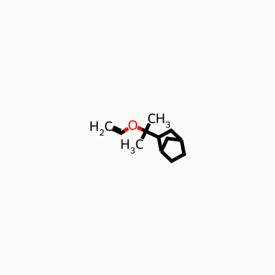 C=COC(C)(C)C1CC2CCC1C2